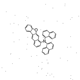 c1ccc2c(N(c3cccc4ccccc34)c3cccc4cc5c(cc34)oc3ccccc35)cccc2c1